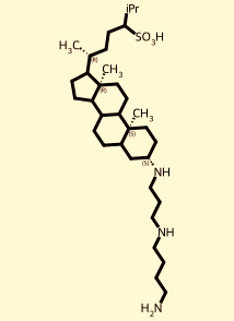 CC(C)C(CC[C@@H](C)C1CCC2C3CCC4C[C@@H](NCCCNCCCCN)CC[C@]4(C)C3CC[C@@]21C)S(=O)(=O)O